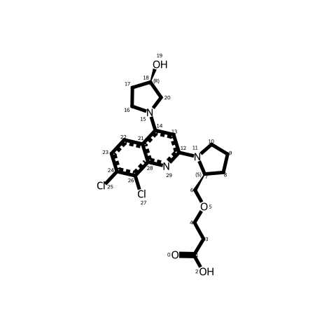 O=C(O)CCOC[C@@H]1CCCN1c1cc(N2CC[C@@H](O)C2)c2ccc(Cl)c(Cl)c2n1